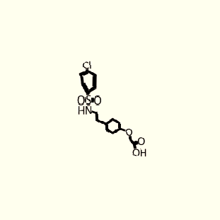 O=C(O)COC1CCC(CCNS(=O)(=O)c2ccc(Cl)cc2)CC1